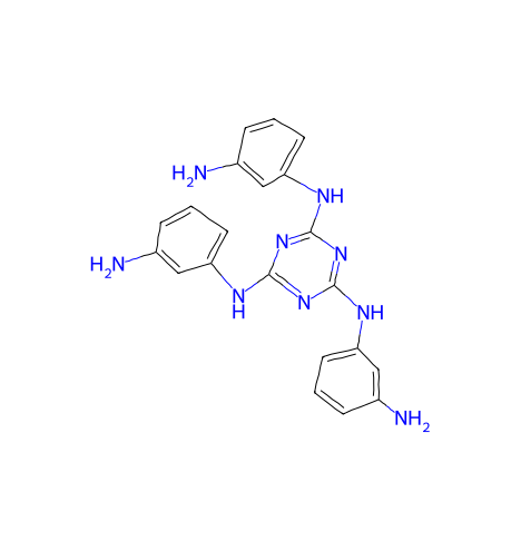 Nc1cccc(Nc2nc(Nc3cccc(N)c3)nc(Nc3cccc(N)c3)n2)c1